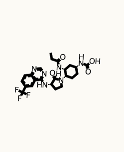 CCC(=O)N[C@@H]1C[C@H](NC(=O)O)CC[C@@H]1N1CC[C@H](Nc2ncnc3ccc(C(F)(F)F)cc23)C1=O